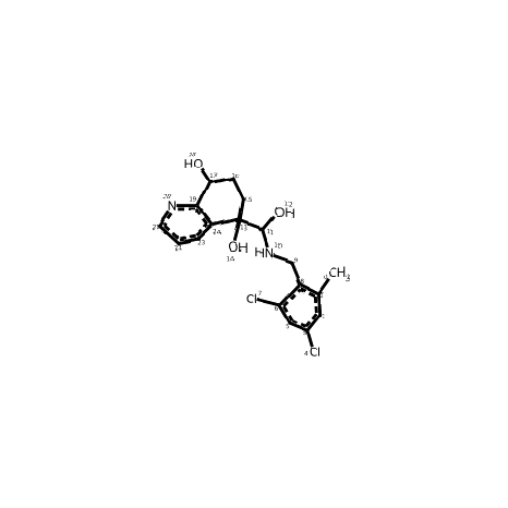 Cc1cc(Cl)cc(Cl)c1CNC(O)C1(O)CCC(O)c2ncccc21